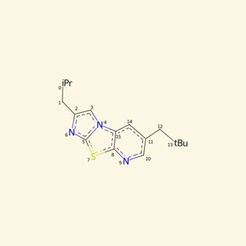 CC(C)Cc1cn2c(n1)sc1ncc(CC(C)(C)C)cc12